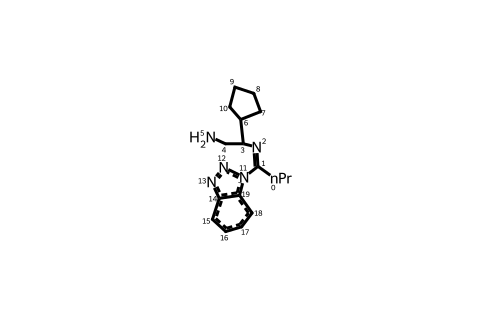 CCC/C(=N/C(CN)C1CCCC1)n1nnc2ccccc21